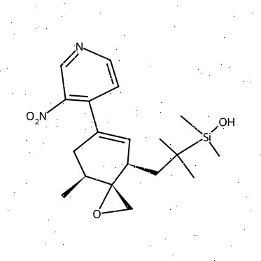 C[C@H]1CC(c2ccncc2[N+](=O)[O-])=C[C@@H](CC(C)(C)[Si](C)(C)O)[C@@]12CO2